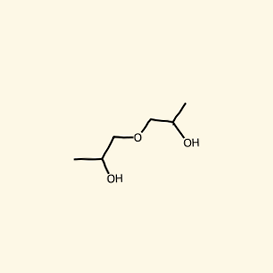 C[C](O)COCC(C)O